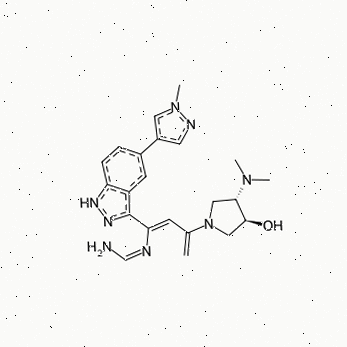 C=C(/C=C(\N=C/N)c1n[nH]c2ccc(-c3cnn(C)c3)cc12)N1C[C@H](O)[C@@H](N(C)C)C1